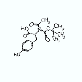 CC(=O)N(C(=O)OC(C)(C)C)[C@@H](Cc1ccc(O)cc1)C(=O)O